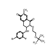 Cn1cc2c(cc1=O)CC(Nc1ccc(Br)cc1F)N(OCCOC(C)(C)C)C2=O